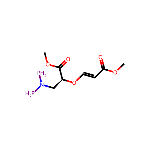 COC(=O)/C=C/O[C@@H](CN(P)P)C(=O)OC